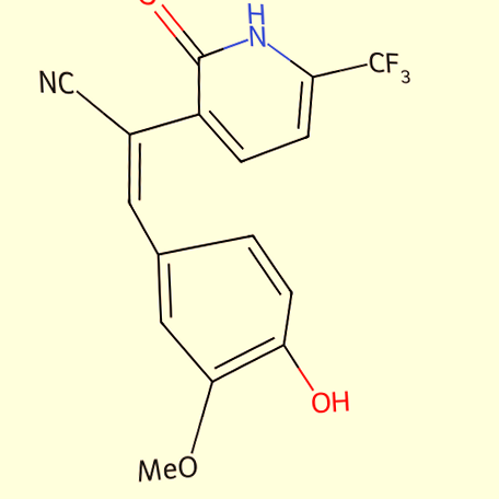 COc1cc(C=C(C#N)c2ccc(C(F)(F)F)[nH]c2=O)ccc1O